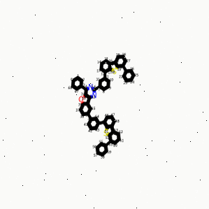 c1ccc(-c2nc(-c3cccc(-c4cccc5c4sc4c(-c6ccccc6)cccc45)c3)nc3c2oc2ccc(-c4cccc(-c5cccc6c5sc5c(-c7ccccc7)cccc56)c4)cc23)cc1